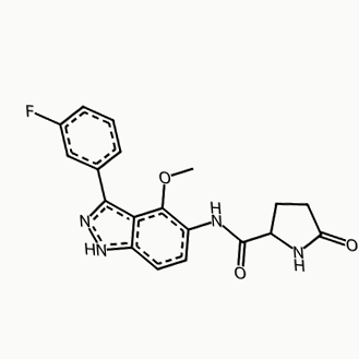 COc1c(NC(=O)C2CCC(=O)N2)ccc2[nH]nc(-c3cccc(F)c3)c12